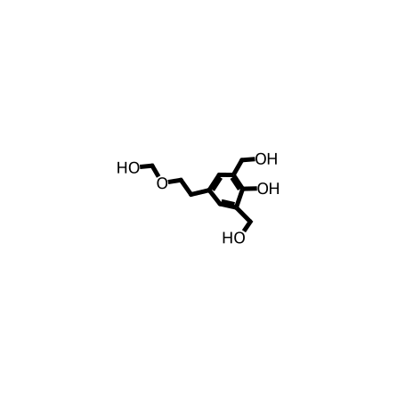 OCOCCc1cc(CO)c(O)c(CO)c1